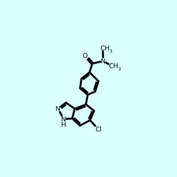 CN(C)C(=O)c1ccc(-c2cc(Cl)cc3[nH]ncc23)cc1